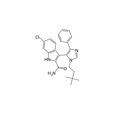 CC(C)(C)CCn1cnc(-c2ccccc2)c1-c1c(C(N)=O)[nH]c2cc(Cl)ccc12